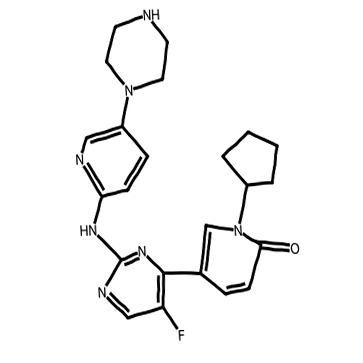 O=c1ccc(-c2nc(Nc3ccc(N4CCNCC4)cn3)ncc2F)cn1C1CCCC1